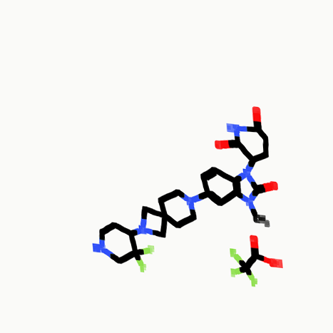 Cn1c(=O)n(C2CCC(=O)NC2=O)c2ccc(N3CCC4(CC3)CN(C3CCNCC3(F)F)C4)cc21.O=C(O)C(F)(F)F